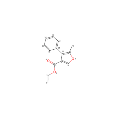 CCOC(=O)c1coc(C)c1-c1ccccc1